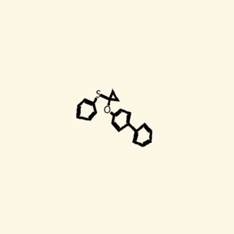 c1ccc(SC2(Oc3ccc(-c4ccccc4)cc3)CC2)cc1